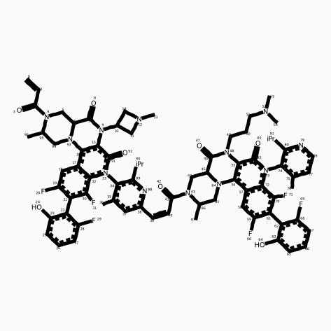 C=CC(=O)N1CC2C(=O)N(C3CN(C)C3)c3c(c4cc(F)c(-c5c(O)cccc5F)c(F)c4n(-c4c(C)cc(/C=C\C(=O)N5CC6C(=O)N(CCCN(C)C)c7c(c8cc(F)c(-c9c(O)cccc9F)c(F)c8n(-c8c(C)ccnc8C(C)C)c7=O)N6CC5C)nc4C(C)C)c3=O)N2CC1C